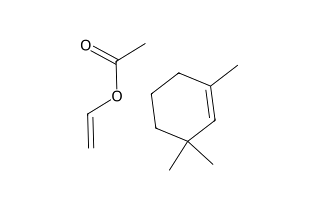 C=COC(C)=O.CC1=CC(C)(C)CCC1